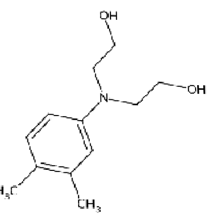 Cc1ccc(N(CCO)CCO)cc1C